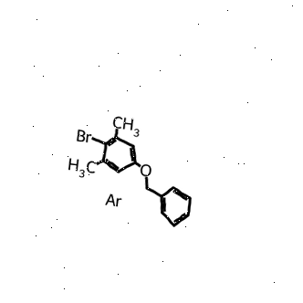 Cc1cc(OCc2ccccc2)cc(C)c1Br.[Ar]